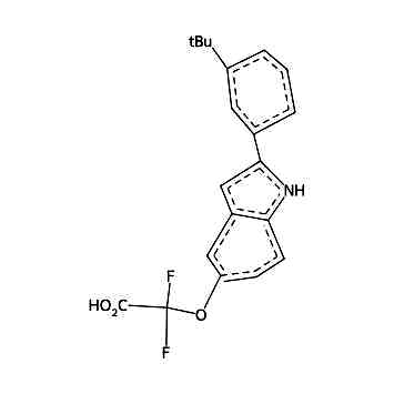 CC(C)(C)c1cccc(-c2cc3cc(OC(F)(F)C(=O)O)ccc3[nH]2)c1